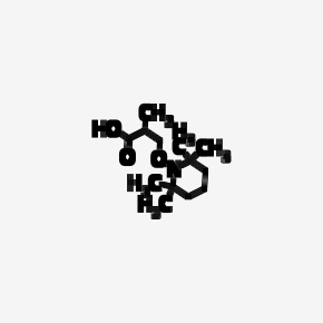 CC(CON1C(C)(C)CCCC1(C)C)C(=O)O